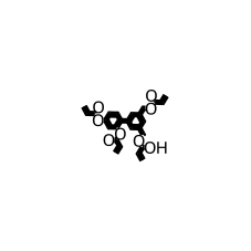 C=CC(=O)OCc1cc(COC(O)C=C)cc(-c2ccc(OC(=O)C=C)cc2OC(=O)C=C)c1